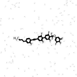 C=CCCc1ccc(C#Cc2cc(F)c(-c3cc(F)c(C(F)(F)OC4=CC(F)C(F)C(F)=C4)c(F)c3)c(F)c2)c(F)c1